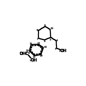 O=CO.OCCC1CCCCC1.c1ccccc1